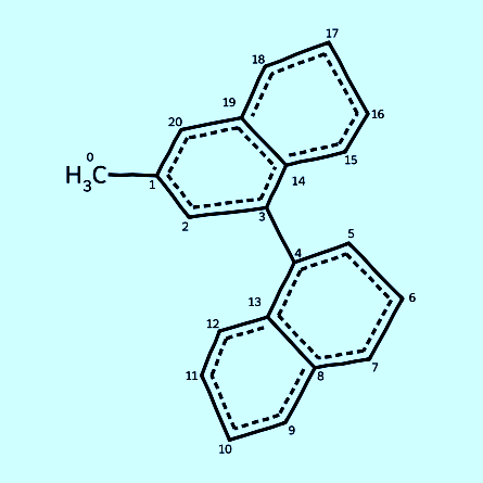 Cc1cc(-c2cccc3ccccc23)c2ccccc2c1